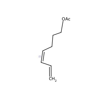 C=C/C=C\CCCOC(C)=O